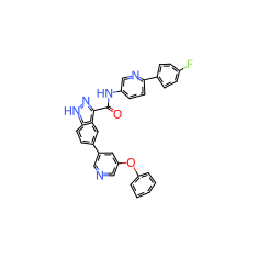 O=C(Nc1ccc(-c2ccc(F)cc2)nc1)c1n[nH]c2ccc(-c3cncc(Oc4ccccc4)c3)cc12